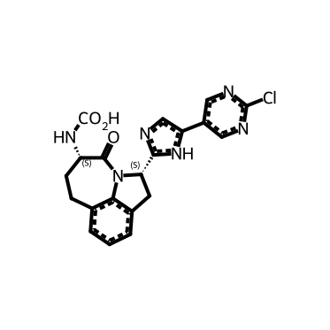 O=C(O)N[C@H]1CCc2cccc3c2N(C1=O)[C@H](c1ncc(-c2cnc(Cl)nc2)[nH]1)C3